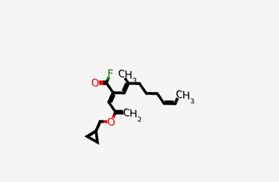 C=C(/C=C(\C=C(/C)CCC/C=C\C)C(=O)F)OCC1CC1